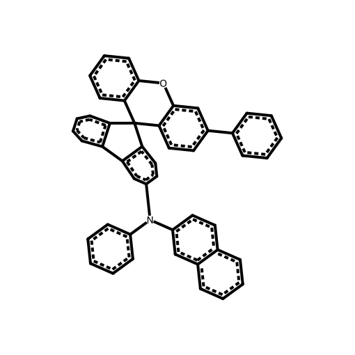 c1ccc(-c2ccc3c(c2)Oc2ccccc2C32c3ccccc3-c3cc(N(c4ccccc4)c4ccc5ccccc5c4)ccc32)cc1